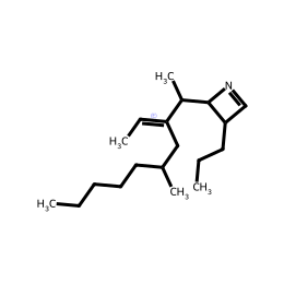 C/C=C(\CC(C)CCCCC)C(C)C1N=CC1CCC